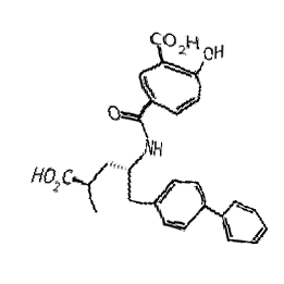 C[C@H](C[C@@H](Cc1ccc(-c2ccccc2)cc1)NC(=O)c1ccc(O)c(C(=O)O)c1)C(=O)O